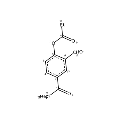 CCCCCCCC(=O)c1ccc(OC(=O)CC)c([C]=O)c1